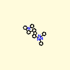 C1=Cc2c(c3cccc(-c4cccc5c4-c4cccc(-c6nc(-c7ccccc7)nc(-c7ccccc7)n6)c4C5)c3n2-c2ccccc2)CC1